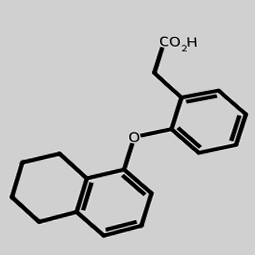 O=C(O)Cc1ccccc1Oc1cccc2c1CCCC2